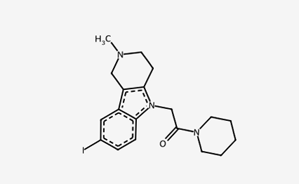 CN1CCc2c(c3cc(I)ccc3n2CC(=O)N2CCCCC2)C1